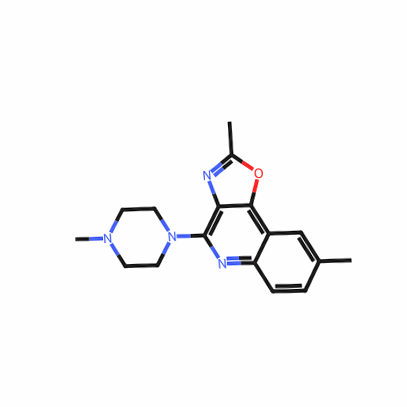 Cc1ccc2nc(N3CCN(C)CC3)c3nc(C)oc3c2c1